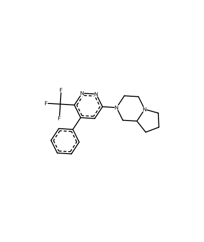 FC(F)(F)c1nnc(N2CCN3CCCC3C2)cc1-c1ccccc1